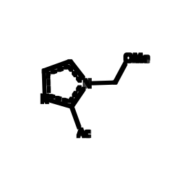 COCn1ccnc1C(C)=O